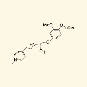 CCCCCCCCCCOc1ccc(OCC(=O)NCCc2cc[n+](C)cc2)cc1OC.[I-]